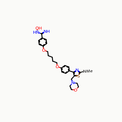 CNc1nc(-c2ccc(OCCCCCOc3ccc(C(=N)NO)cc3)cc2)c(CN2CCOCC2)s1